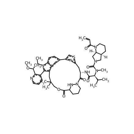 C=CC(=O)N1CCC[C@H]2CN(C(=O)N(C)[C@H](C(=O)N[C@H]3Cc4nc(cs4)-c4ccc5c(c4)c(c(-c4cccnc4[C@H](C)OC)n5CC)CC(C)(C)COC(=O)C4CCCN(N4)C3=O)C(C)C)C[C@H]21